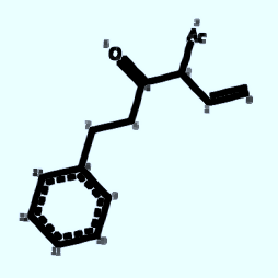 C=CC(C(C)=O)C(=O)CCc1ccccc1